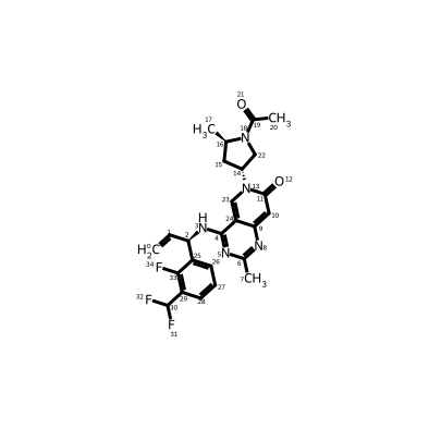 C=C[C@@H](Nc1nc(C)nc2cc(=O)n([C@@H]3C[C@@H](C)N(C(C)=O)C3)cc12)c1cccc(C(F)F)c1F